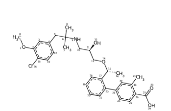 COc1cc(CC(C)(C)NC[C@@H](O)CO[C@H](C)c2ccccc2-c2ccc(C(=O)O)c(C)c2)ccc1Cl